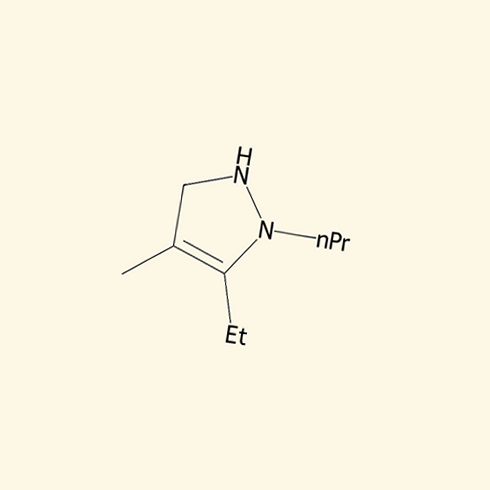 CCCN1NCC(C)=C1CC